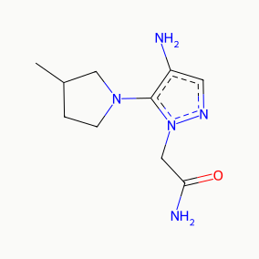 CC1CCN(c2c(N)cnn2CC(N)=O)C1